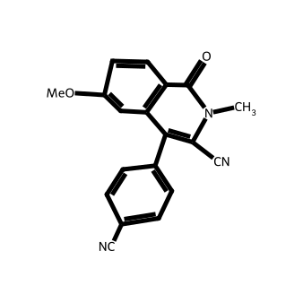 COc1ccc2c(=O)n(C)c(C#N)c(-c3ccc(C#N)cc3)c2c1